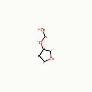 OCOC1CCOC1